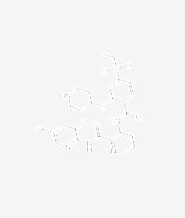 CCS(=O)(=O)c1ccc(C(=O)Nc2cccnc2C(=O)NC2=NC=C(Cl)CC2=O)c(OC2CCNCC2)c1